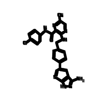 N#Cc1cnc(NCc2ccc(-c3cnc4[nH]nc(N)c4c3)cc2)c(C(=O)Nc2ccc(Cl)cc2)n1